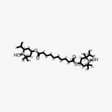 CC(C)C1CC(OC(=O)CCCCCCCCC(=O)OC2CC(C)(C)N(O)C(C)(C(C)C)C2)CC(C)(C)N1O